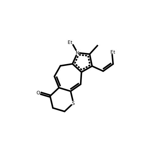 CC/C=C\c1c2c(n(CC)c1C)CC=C1C(=O)CCSC1=C2